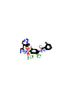 Cc1ccccc1C(=O)Nc1cc(Cl)c(S(=O)(=O)NC(C)C2CCN(C)CC2)cc1Cl.Cl